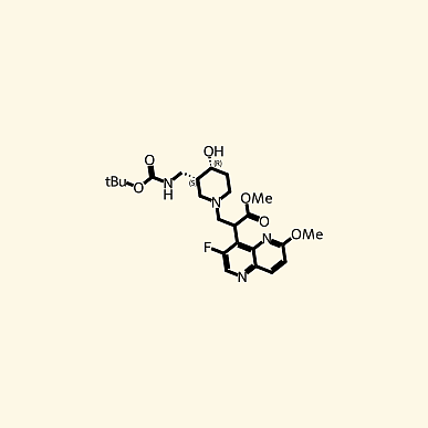 COC(=O)C(CN1CC[C@@H](O)[C@@H](CNC(=O)OC(C)(C)C)C1)c1c(F)cnc2ccc(OC)nc12